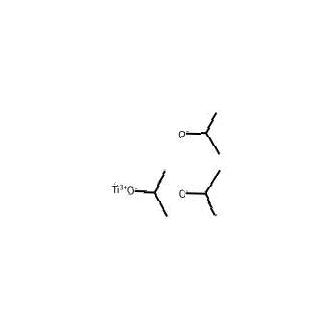 CC(C)[O-].CC(C)[O-].CC(C)[O-].[Ti+3]